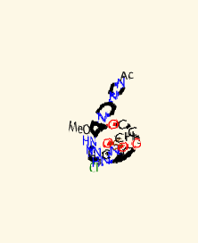 COc1cc(N2CCC(N3CCN(C(C)=O)CC3)CC2)c2cc1Nc1ncc(Cl)c(n1)Nc1ccc(cc1N(C)S(C)(=O)=O)OCCCCO2